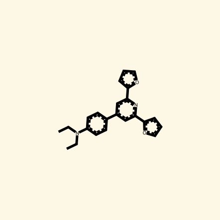 CCN(CC)c1ccc(-c2cc(-c3ccco3)nc(-c3ccco3)c2)cc1